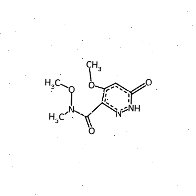 COc1cc(=O)[nH]nc1C(=O)N(C)OC